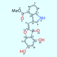 COC(=O)c1cccc2[nH]cc(/C=C3/Oc4cc(O)cc(O)c4C3=O)c12